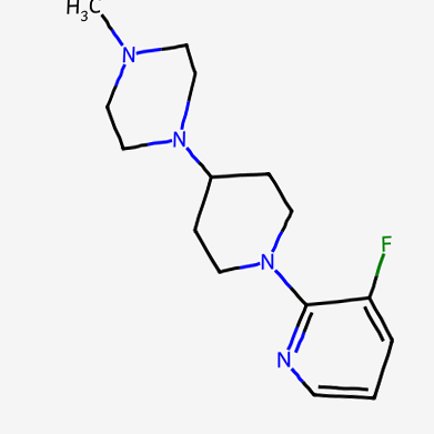 CN1CCN(C2CCN(c3ncccc3F)CC2)CC1